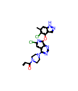 C=CC(=O)N1CCN(c2ncnc3c(Oc4c(Cl)c(C)cc5[nH]ncc45)nc(Cl)cc23)CC1